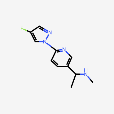 CNC(C)c1ccc(-n2cc(F)cn2)nc1